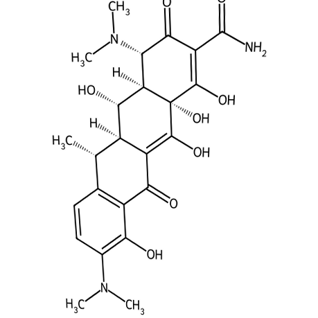 C[C@H]1c2ccc(N(C)C)c(O)c2C(=O)C2=C(O)[C@]3(O)C(O)=C(C(N)=O)C(=O)[C@@H](N(C)C)[C@@H]3[C@@H](O)[C@@H]21